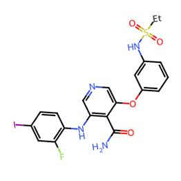 CCS(=O)(=O)Nc1cccc(Oc2cncc(Nc3ccc(I)cc3F)c2C(N)=O)c1